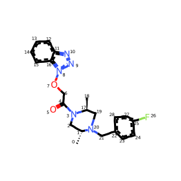 C[C@@H]1CN(C(=O)COn2nnc3ccccc32)[C@@H](C)CN1Cc1ccc(F)cc1